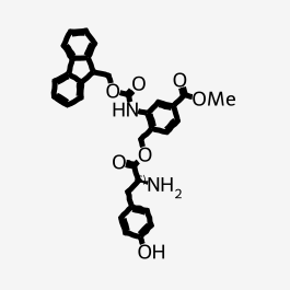 COC(=O)c1ccc(COC(=O)[C@@H](N)Cc2ccc(O)cc2)c(NC(=O)OCC2c3ccccc3-c3ccccc32)c1